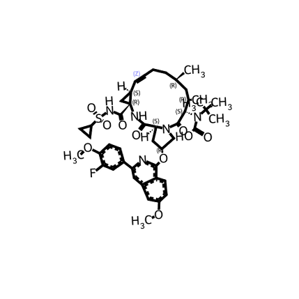 COc1ccc2c(O[C@@H]3C[C@H]4C(=O)N[C@]5(C(=O)NS(=O)(=O)C6CC6)C[C@H]5/C=C\CC[C@@H](C)C[C@@H](C)[C@H](N(C(=O)O)C(C)(C)C)C(=O)N4C3)nc(-c3ccc(OC)c(F)c3)cc2c1